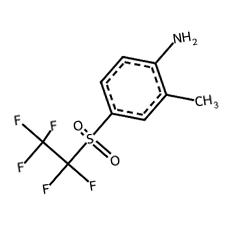 Cc1cc(S(=O)(=O)C(F)(F)C(F)(F)F)ccc1N